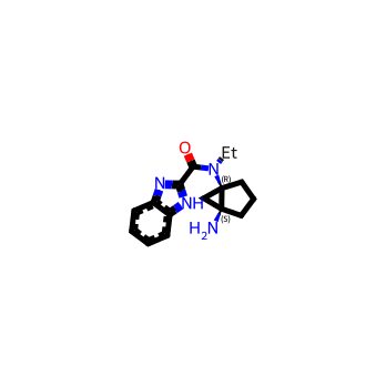 CCN(C(=O)c1nc2ccccc2[nH]1)[C@@]12CCC[C@]1(N)C2